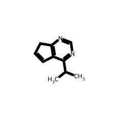 CC(C)c1ncnc2c1C=CC2